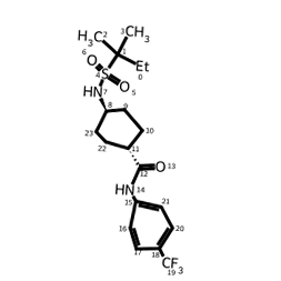 CCC(C)(C)S(=O)(=O)N[C@H]1CC[C@H](C(=O)Nc2ccc(C(F)(F)F)cc2)CC1